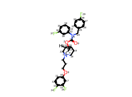 O=C(O[C@H]1C[N+]2(CCCOc3ccc(F)c(F)c3)CCC1CC2)N(Cc1ccc(F)cc1)c1cccc(F)c1